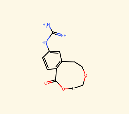 N=C(N)Nc1ccc2c(c1)CCOCCOC2=O